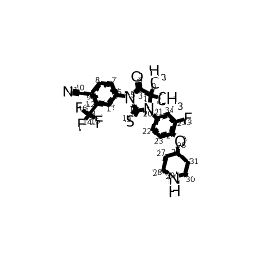 CC1(C)C(=O)N(c2ccc(C#N)c(C(F)(F)F)c2)C(=S)N1c1ccc(OC2CCNCC2)c(F)c1